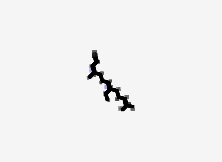 CC/C(=C\CC/C(C)=C\C=O)CCC=C(C)C